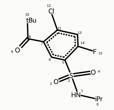 CC(C)NS(=O)(=O)c1cc(C(=O)C(C)(C)C)c(Cl)cc1F